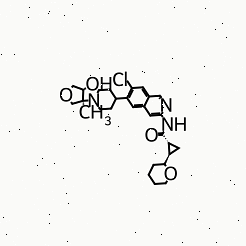 C[C@]1(N2CCC(c3cc4cc(NC(=O)[C@@H]5C[C@H]5C5CCCCO5)ncc4cc3Cl)CC2)COC[C@H]1O